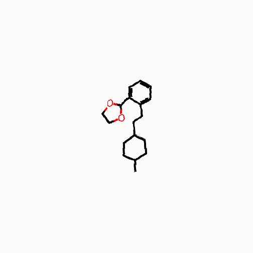 CC1CCC(CCc2ccccc2C2OCCO2)CC1